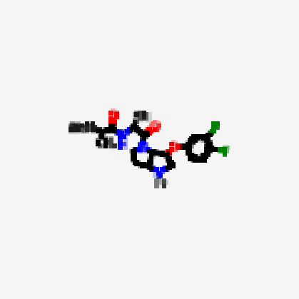 CCN1CC(Oc2ccc(F)c(F)c2)C2C1CCN2C(=O)C(NC(=O)C(C)NC)C(C)(C)C